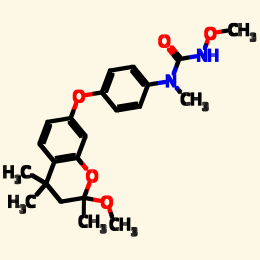 CONC(=O)N(C)c1ccc(Oc2ccc3c(c2)OC(C)(OC)CC3(C)C)cc1